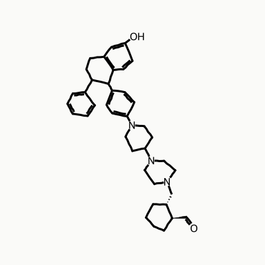 O=C[C@H]1CCCC[C@@H]1CN1CCN(C2CCN(c3ccc(C4c5ccc(O)cc5CCC4c4ccccc4)cc3)CC2)CC1